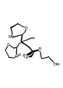 CC(C(=O)OCCO)(C1NCCO1)C1NCCO1